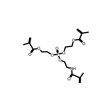 C=C(C)C(=O)NCCOP(=O)(OCCOC(=O)C(=C)C)OCCOC(=O)C(=C)C